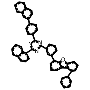 c1ccc(-c2cccc3oc4c(-c5cccc(-c6nc(-c7ccc(-c8ccc9ccccc9c8)cc7)nc(-c7cccc8ccccc78)n6)c5)cccc4c23)cc1